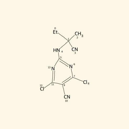 CCC(C)(C#N)Nc1nc(Cl)c(C#N)c(Cl)n1